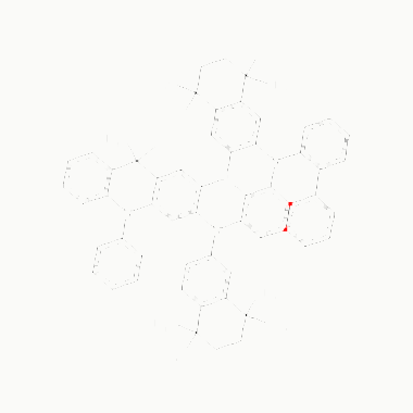 CC1(C)CCC(C)(C)c2cc(N3c4cc5c(cc4B4c6cc7c(cc6N(c6ccccc6-c6ccccc6)c6cccc3c64)C(C)(C)CCC7(C)C)C(C)(C)c3ccccc3N5c3ccccc3)ccc21